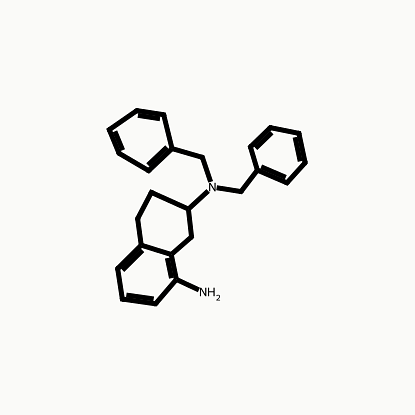 Nc1cccc2c1CC(N(Cc1ccccc1)Cc1ccccc1)CC2